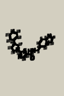 O=C(NCc1ccc2nccn2c1)c1cnc(N2CCC(c3ccccc3)C2)s1